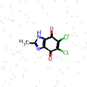 Cc1nc2c([nH]1)C(=O)C(Cl)=C(Cl)C2=O